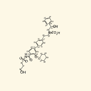 O=C(NS(=O)(=O)CCCO)c1ccc(-c2ccc(CCN(C[C@H](O)c3ccccc3)C(=O)O)cc2)cc1OC1CCCCC1